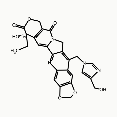 CC[C@@]1(O)C(=O)OCc2c1cc1n(c2=O)Cc2c-1nc1cc3c(cc1c2Cn1cnc(CO)c1)OCO3